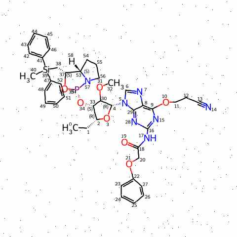 CC[C@H]1O[C@@H](n2cnc3c(OCCC#N)nc(NC(=O)COc4ccccc4)nc32)C(OC)[C@H]1O[P@]1O[C@H](C[Si](C)(c2ccccc2)c2ccccc2)[C@@H]2CCCN21